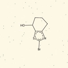 OC1CCCc2nc(Br)sc21